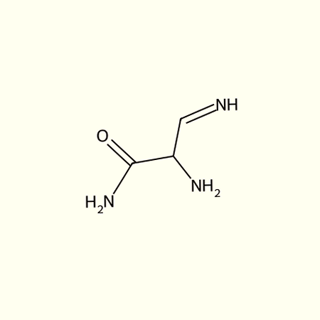 N=CC(N)C(N)=O